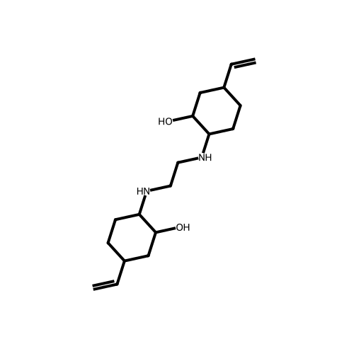 C=CC1CCC(NCCNC2CCC(C=C)CC2O)C(O)C1